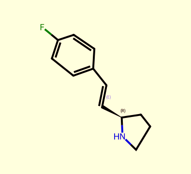 Fc1ccc(/C=C/[C@H]2CCCN2)cc1